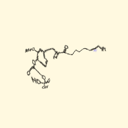 COc1cc(CNC(=O)CCCC/C=C/C(C)C)ccc1OC(=O)OP(=O)(O)O